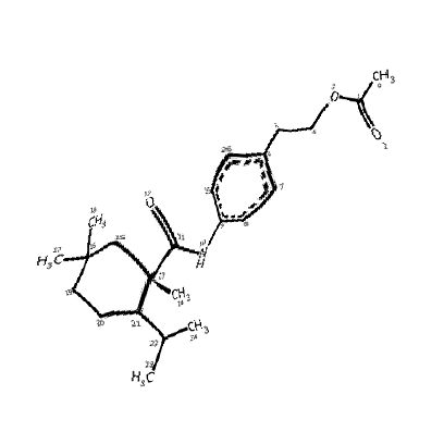 CC(=O)OCCc1ccc(NC(=O)[C@@]2(C)CC(C)(C)CCC2C(C)C)cc1